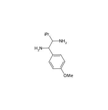 COc1ccc(C(N)C(N)C(C)C)cc1